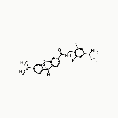 C=C(C)c1ccc2c(c1)[C@H]1O[C@@H]2c2ccc(C(=O)NCc3c(F)cc(C(N)N)cc3F)cc21